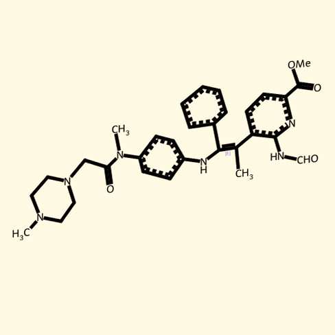 COC(=O)c1ccc(/C(C)=C(/Nc2ccc(N(C)C(=O)CN3CCN(C)CC3)cc2)c2ccccc2)c(NC=O)n1